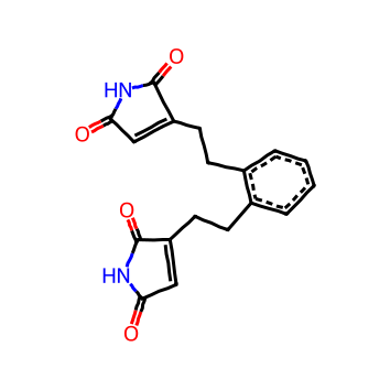 O=C1C=C(CCc2ccccc2CCC2=CC(=O)NC2=O)C(=O)N1